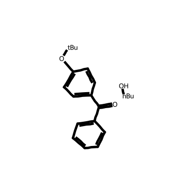 CC(C)(C)Oc1ccc(C(=O)c2ccccc2)cc1.CCCCO